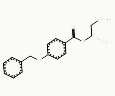 CCOC(=O)C[C@@H](OC(=O)c1ccc(OCc2ccccc2)cc1)C(F)(F)F